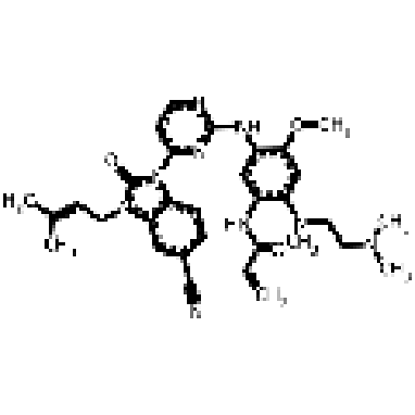 C=CC(=O)Nc1cc(Nc2nccc(-n3c(=O)n(CC=C(C)C)c4cc(C#N)ccc43)n2)c(OC)cc1N(C)CCN(C)C